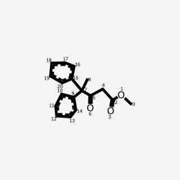 COC(=O)CC(=O)C(C)(c1ccccc1)c1ccccc1